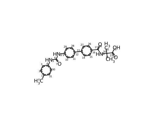 Cc1ccc(NC(=O)Nc2ccc(-c3ccc(C(=O)NC(C)(C)C(=O)O)cc3)cc2)cc1